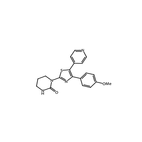 COc1ccc(-c2nc(N3CCCNC3=O)sc2-c2ccncc2)cc1